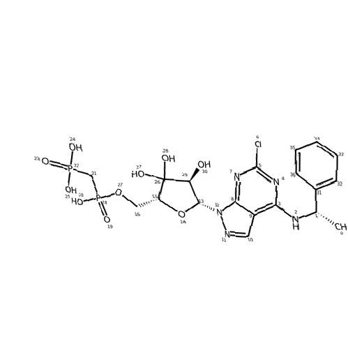 C[C@H](Nc1nc(Cl)nc2c1cnn2[C@@H]1O[C@H](COP(=O)(O)CP(=O)(O)O)C(O)(O)[C@H]1O)c1ccccc1